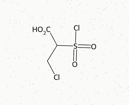 O=C(O)C(CCl)S(=O)(=O)Cl